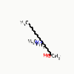 CNC.[CH2]C(O)CCCCCCCCCCCCCCCCCC